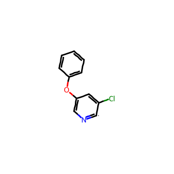 Clc1[c]ncc(Oc2ccccc2)c1